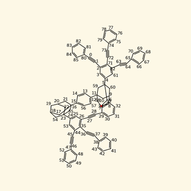 C(#Cc1cc(C23CC4CC(CC(c5ccc(C67CC8CC(C6)CC(c6cc(C#Cc9ccccc9)c(C#Cc9ccccc9)c(C#Cc9ccccc9)c6)(C8)C7)cc5)(C4)C2)C3)cc(C#Cc2ccccc2)c1C#Cc1ccccc1)c1ccccc1